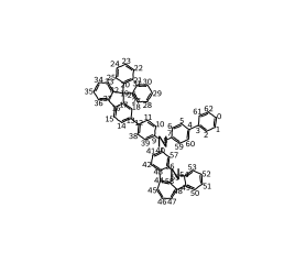 c1ccc(-c2ccc(N(c3ccc(-c4ccc5c(c4)C(c4ccccc4)(c4ccccc4)c4ccccc4-5)cc3)c3ccc4c5cccc6c7ccccc7n(c4c3)c65)cc2)cc1